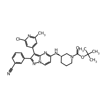 Cc1cc(-c2c(-c3cccc(C#N)c3)nn3ccc(N[C@@H]4CCCN(C(=O)OC(C)(C)C)C4)nc23)cc(Cl)n1